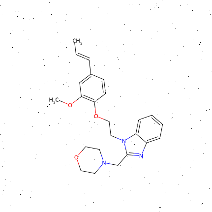 C/C=C/c1ccc(OCCn2c(CN3CCOCC3)nc3ccccc32)c(OC)c1